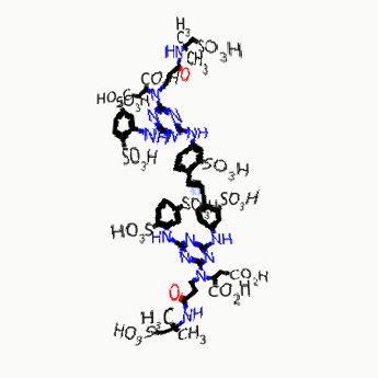 CC(C)(CS(=O)(=O)O)NC(=O)CCN(c1nc(Nc2ccc(/C=C/c3ccc(Nc4nc(Nc5cc(S(=O)(=O)O)ccc5S(=O)(=O)O)nc(N(CCC(=O)NC(C)(C)CS(=O)(=O)O)C(CC(=O)O)C(=O)O)n4)cc3S(=O)(=O)O)c(S(=O)(=O)O)c2)nc(Nc2cc(S(=O)(=O)O)ccc2S(=O)(=O)O)n1)C(CC(=O)O)C(=O)O